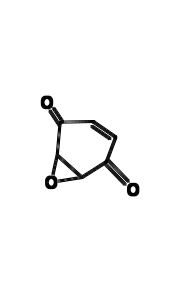 O=C1C=CC(=O)C2OC12